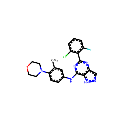 COc1cc(Nc2nc(-c3c(F)cccc3Cl)nc3cn[nH]c23)ccc1N1CCOCC1